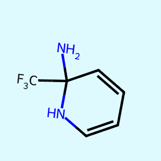 NC1(C(F)(F)F)C=CC=CN1